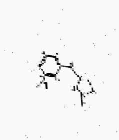 Clc1cccc(CC2CCNC2)c1